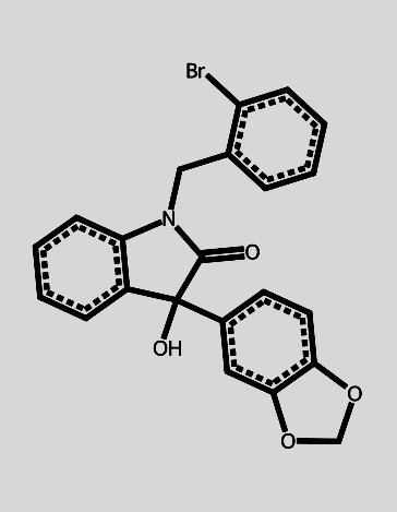 O=C1N(Cc2ccccc2Br)c2ccccc2C1(O)c1ccc2c(c1)OCO2